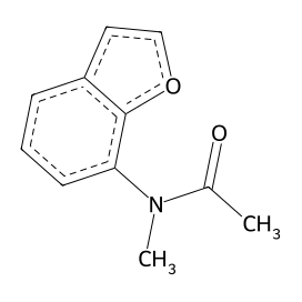 CC(=O)N(C)c1cccc2ccoc12